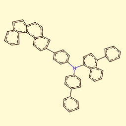 c1ccc(-c2ccc(N(c3ccc(-c4ccc5c(ccc6ccc7ccccc7c65)c4)cc3)c3ccc(-c4ccccc4)c4ccccc34)cc2)cc1